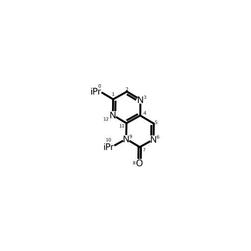 CC(C)c1cnc2cnc(=O)n(C(C)C)c2n1